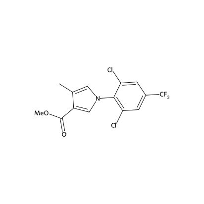 COC(=O)c1cn(-c2c(Cl)cc(C(F)(F)F)cc2Cl)cc1C